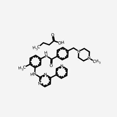 CCCC(=O)O.Cc1ccc(NC(=O)c2ccc(CN3CCN(C)CC3)cc2)cc1Nc1nccc(-c2cccnc2)n1